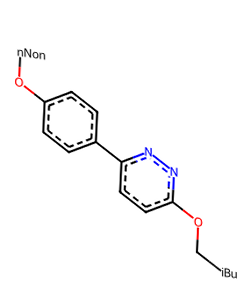 CCCCCCCCCOc1ccc(-c2ccc(OCC(C)CC)nn2)cc1